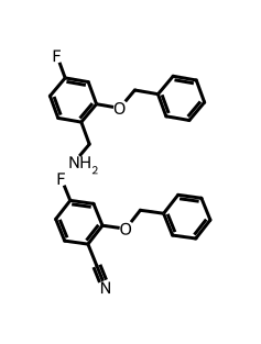 N#Cc1ccc(F)cc1OCc1ccccc1.NCc1ccc(F)cc1OCc1ccccc1